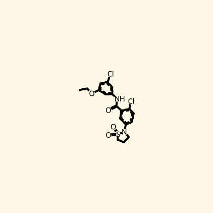 CCOc1cc(Cl)cc(NC(=O)c2cc(N3CCCS3(=O)=O)ccc2Cl)c1